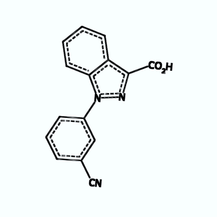 N#Cc1cccc(-n2nc(C(=O)O)c3ccccc32)c1